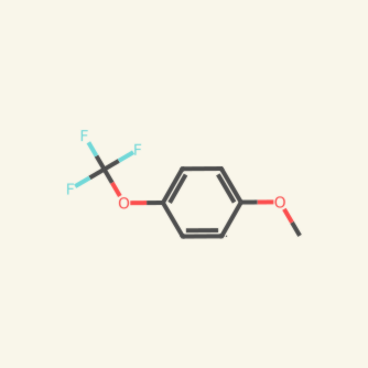 COc1[c]cc(OC(F)(F)F)cc1